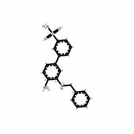 NS(=O)(=O)c1cccc(-c2ccc([N+](=O)[O-])c(NCc3ccccc3)c2)c1